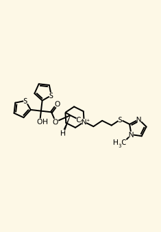 Cn1ccnc1SCCC[N+]12CCC(CC1)[C@@H](OC(=O)C(O)(c1cccs1)c1cccs1)C2